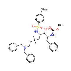 COc1ccc(S(=O)(=O)NC(CC(C)(C)CCN(Cc2ccccc2)Cc2ccccc2)[C@H](O)[C@H](Cc2ccccc2)NC(=O)OC(C)(C)C)cc1